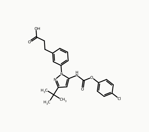 CC(C)(C)c1cc(NC(=O)Oc2ccc(Cl)cc2)n(-c2cccc(CCC(=O)O)c2)n1